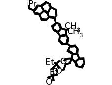 CCC1(COCCCC2(COCC3(CC)COC3)c3ccccc3-c3ccc(-c4ccc5c(c4)C(C)(C)c4cc(-c6ccc7ccc8cc(CC(C)C)cc9ccc6c7c89)ccc4-5)cc32)COC1